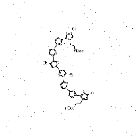 CCCCCCCCCCCCc1cc(Cl)sc1-c1ccc(-c2ccc(-c3sc(-c4cc(CC)c(-c5ccc(-c6ccc(-c7sc(Cl)cc7CCCCCCCCCCCC)s6)s5)s4)cc3CC)s2)s1